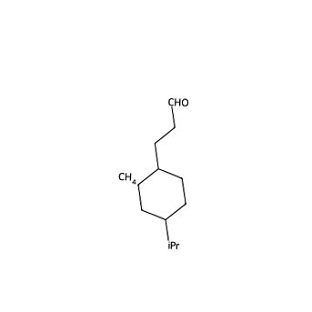 C.CC(C)C1CCC(CCC=O)CC1